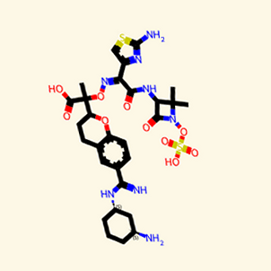 CC(ON=C(C(=O)NC1C(=O)N(OS(=O)(=O)O)C1(C)C)c1csc(N)n1)(C(=O)O)C1CCc2cc(C(=N)N[C@H]3CCC[C@H](N)C3)ccc2O1